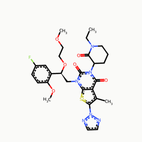 CCN1CCCC(n2c(=O)c3c(C)c(-n4nccn4)sc3n(C[C@H](OCCOC)c3cc(F)ccc3OC)c2=O)C1=O